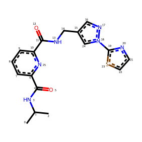 CC(C)NC(=O)c1cccc(C(=O)NCc2cnn(-c3nccs3)c2)n1